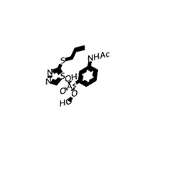 C=CCSc1nncs1.CC(=O)Nc1cccc([As](=O)(O)OO)c1